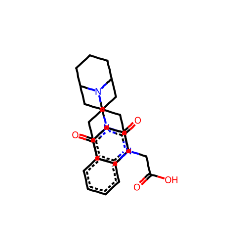 O=C(O)Cn1c(=O)n(C2CC3CCCC(C2)N3C2CC3CCCC(C3)C2)c(=O)c2ccccc21